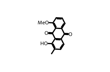 COc1cccc2c1C(=O)c1c(ccc(C)c1O)C2=O